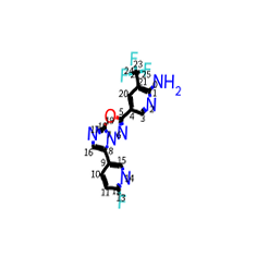 Nc1ncc(-c2nn3c(-c4ccc(F)nc4)cnc3o2)cc1C(F)(F)F